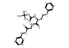 CC(C)(C)OC(=O)N[C@@H](CCOc1ccccc1)C(=O)NCC(=O)OCc1ccccc1